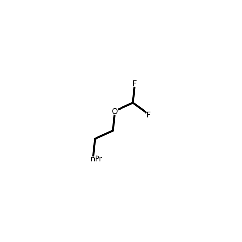 [CH2]CCCCOC(F)F